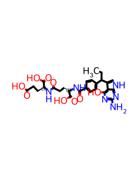 CCC(c1ccc(C(=O)N[C@@H](CCC(=O)N[C@@H](CCC(=O)O)C(=O)O)C(=O)O)cc1)c1c[nH]c2nc(N)nc(O)c12